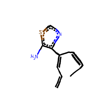 C=C/C=C(\C=C/C)c1ncsc1N